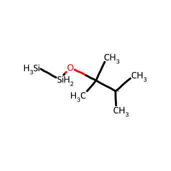 C[C](C)C(C)(C)O[SiH2][SiH3]